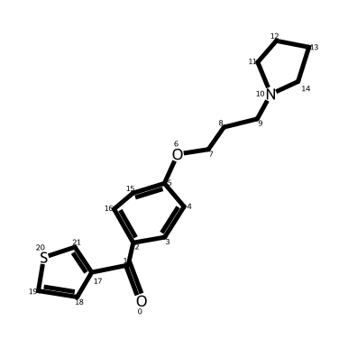 O=C(c1ccc(OCCCN2CCCC2)cc1)c1ccsc1